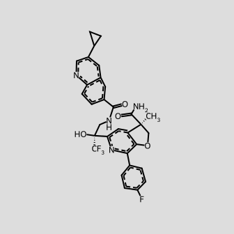 C[C@]1(C(N)=O)COc2c1cc([C@@](O)(CNC(=O)c1ccc3ncc(C4CC4)cc3c1)C(F)(F)F)nc2-c1ccc(F)cc1